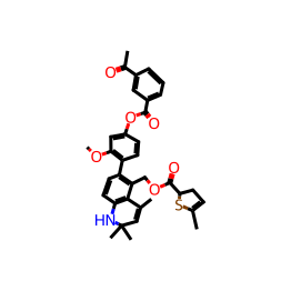 COc1cc(OC(=O)c2cccc(C(C)=O)c2)ccc1-c1ccc2c(c1COC(=O)C1CC=C(C)S1)C(C)=CC(C)(C)N2